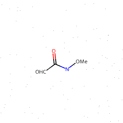 CO[N]C(=O)C=O